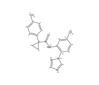 Cc1ccc(C2(C(=O)Nc3cc(C(F)(F)F)ccc3-n3cncn3)CC2)cc1